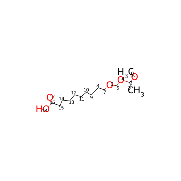 COC(C)OCOCCCCCCCCCC(=O)O